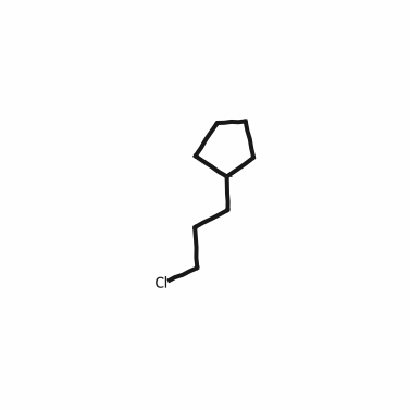 ClCCC[C]1CCCC1